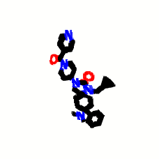 CN(C)[C@]1(c2ccccc2)CC[C@@]2(CC1)CN(C1CCN(C(=O)c3ccncc3)CC1)C(=O)N2CC1CC1